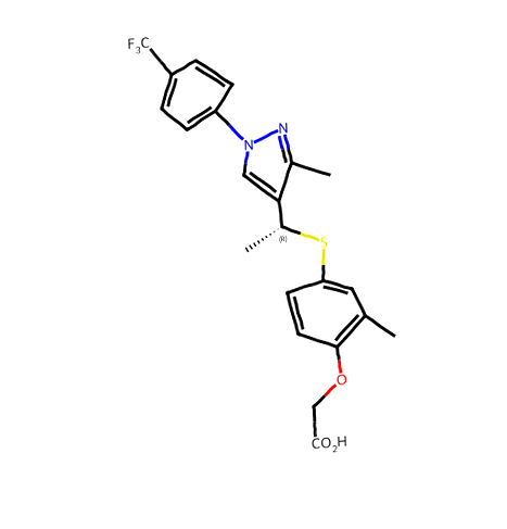 Cc1cc(S[C@H](C)c2cn(-c3ccc(C(F)(F)F)cc3)nc2C)ccc1OCC(=O)O